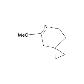 COC1=NCCC2(CC2)C1